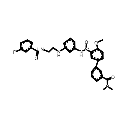 COc1ccc(-c2cccc(C(=O)N(C)C)c2)cc1[S+]([O-])Nc1cccc(NCCNC(=O)c2cccc(F)c2)c1